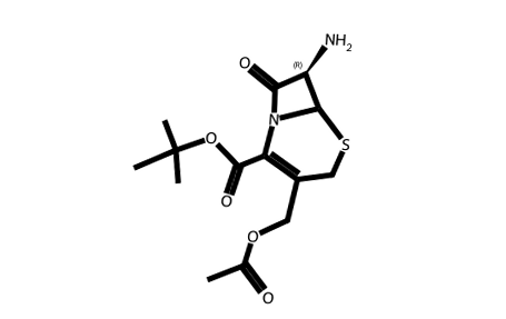 CC(=O)OCC1=C(C(=O)OC(C)(C)C)N2C(=O)[C@@H](N)C2SC1